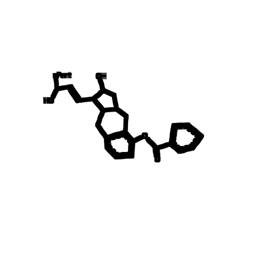 CCCCCC(O)C=CC1C(O)CC2Cc3c(cccc3OC(=O)c3ccccc3)CC21